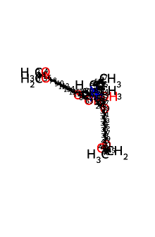 C=C(C)C(=O)OCCCCCCCCCCCOc1ccc(-c2nc(-c3ccc(OCCCCCCCCCCCOC(=O)C(=C)C)cc3O)nc(-c3c(C)cc(C)cc3C)n2)c(O)c1